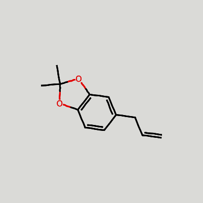 C=CCc1ccc2c(c1)OC(C)(C)O2